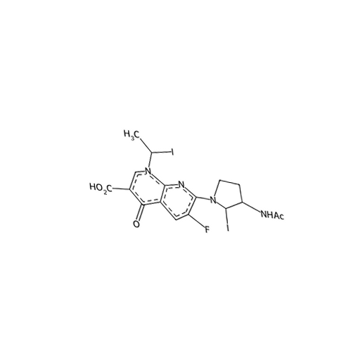 CC(=O)NC1CCN(c2nc3c(cc2F)c(=O)c(C(=O)O)cn3C(C)I)C1I